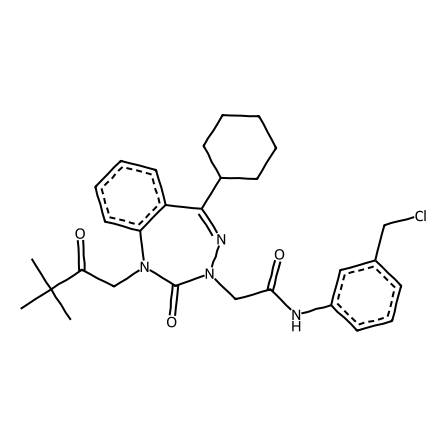 CC(C)(C)C(=O)CN1C(=O)N(CC(=O)Nc2cccc(CCl)c2)N=C(C2CCCCC2)c2ccccc21